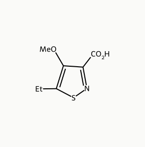 CCc1snc(C(=O)O)c1OC